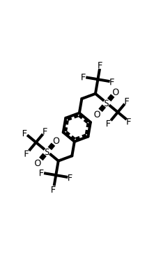 O=S(=O)(C(Cc1ccc(CC(C(F)(F)F)S(=O)(=O)C(F)(F)F)cc1)C(F)(F)F)C(F)(F)F